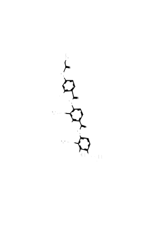 COc1c(NC(=O)c2ccc(NC(=O)c3ccc(NC(=O)CNC=O)cc3O)c(OC)c2O)ccc(C(=O)O)c1O